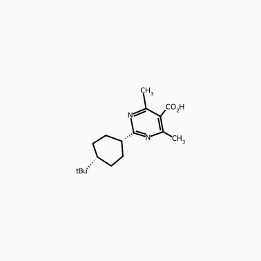 Cc1nc([C@H]2CC[C@@H](C(C)(C)C)CC2)nc(C)c1C(=O)O